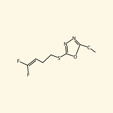 CCc1nnc(SCCC=C(F)F)o1